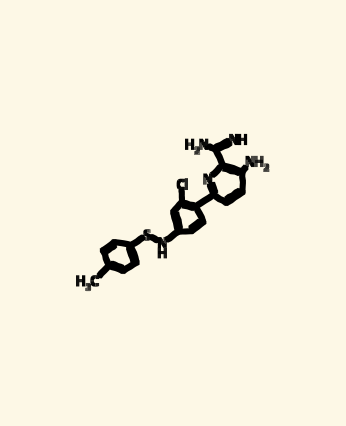 Cc1ccc(SNc2ccc(-c3ccc(N)c(C(=N)N)n3)c(Cl)c2)cc1